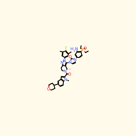 CCP(=O)(CC)c1ccc(-n2ccn(-c3c4c(nn3-c3cc(C)c(F)c(C)c3)CCN(C(=O)c3cc5cc(C6CCOCC6)ccc5n3C)[C@H]4C)c2=O)cc1N